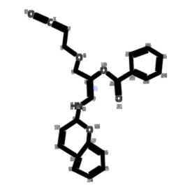 O=C=CCOC/C(=C\NC1C=Cc2ccccc2O1)OC(=O)c1ccccc1